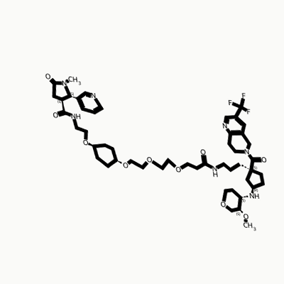 CO[C@@H]1COCC[C@@H]1N[C@@H]1CC[C@](CCCNC(=O)CCOCCOCCO[C@H]2CC[C@H](OCCNC(=O)[C@H]3CC(=O)N(C)[C@@H]3c3cccnc3)CC2)(C(=O)N2CCc3ncc(C(F)(F)F)cc3C2)C1